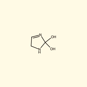 OC1(O)N=CCN1